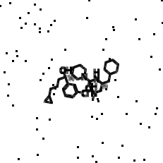 CNC[C@H](CC1CCCCC1)NC(=O)N1CCC[C@@H](C(O)(CCCC2CC2)c2cccc(Cl)c2)C1